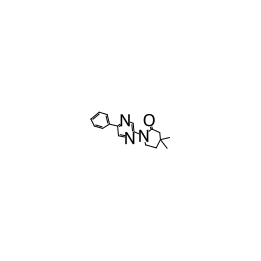 CC1(C)CCN(c2cnc(-c3ccccc3)cn2)C(=O)C1